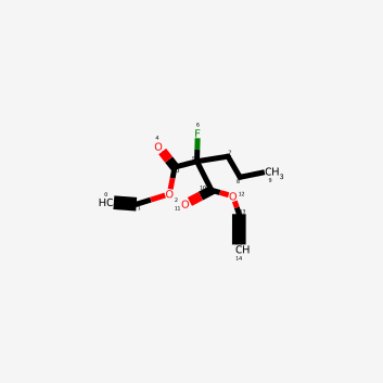 C#COC(=O)C(F)(CCC)C(=O)OC#C